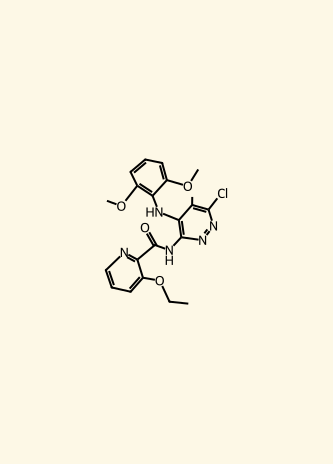 CCOc1cccnc1C(=O)Nc1nnc(Cl)c(C)c1Nc1c(OC)cccc1OC